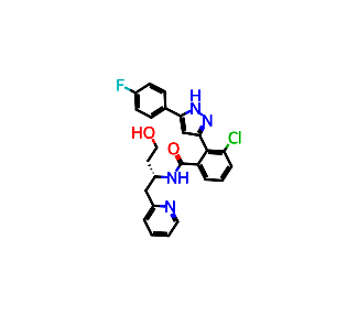 O=C(N[C@@H](CCO)Cc1ccccn1)c1cccc(Cl)c1-c1cc(-c2ccc(F)cc2)[nH]n1